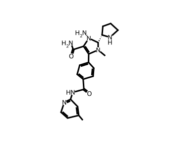 Cc1ccnc(NC(=O)c2ccc(C3=C(C(N)=O)N(N)C([C@@H]4CCCN4)N3C)cc2)c1